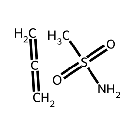 C=C=C.CS(N)(=O)=O